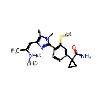 CCSc1cc(C2(C(N)=O)CC2)ccc1-c1nc(/C=C(\N(C=O)CC)C(F)(F)F)c(C)n1C